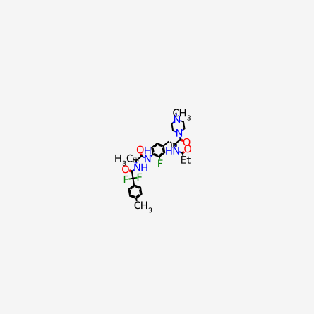 CCC(=O)N[C@H](Cc1ccc(NC(=O)[C@H](C)NC(=O)C(F)(F)c2ccc(C)cc2)c(F)c1)C(=O)N1CCN(C)CC1